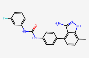 Cc1ccc(-c2ccc(NC(=O)Nc3cccc(F)c3)cc2)c2c(N)n[nH]c12